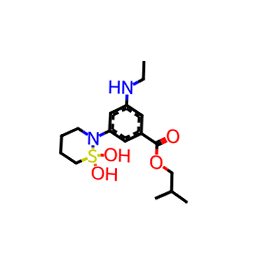 CCNc1cc(C(=O)OCC(C)C)cc(N2CCCCS2(O)O)c1